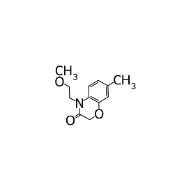 COCCN1C(=O)COc2cc(C)ccc21